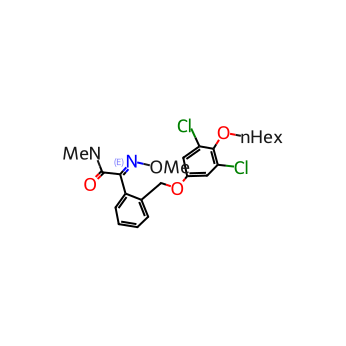 CCCCCCOc1c(Cl)cc(OCc2ccccc2/C(=N\OC)C(=O)NC)cc1Cl